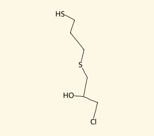 OC(CCl)CSCCCS